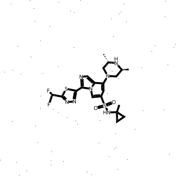 C[C@H]1CN(c2cc(S(=O)(=O)NC3(C)CC3)cn3c(-c4nnc(C(F)F)s4)ncc23)C[C@H](C)N1